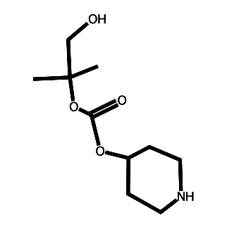 CC(C)(CO)OC(=O)OC1CCNCC1